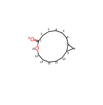 O=C1CCCCCC2CC2CCCCCO1